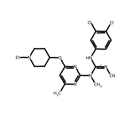 CCN1CCC(Oc2cc(C)nc(N(C)/C(=N\C#N)Nc3ccc(Cl)c(Cl)c3)n2)CC1